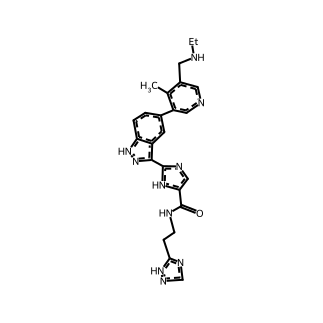 CCNCc1cncc(-c2ccc3[nH]nc(-c4ncc(C(=O)NCCc5ncn[nH]5)[nH]4)c3c2)c1C